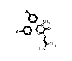 CC(C)=CC[C@H]1O[C@H](c2ccc(Br)cc2)[C@H](c2ccc(Br)cc2)N(C)C1=O